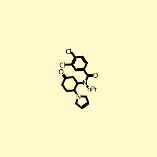 CCCN(C(=O)c1ccc(Cl)c(Cl)c1)C1CC(=O)CCC1N1CC=CC1